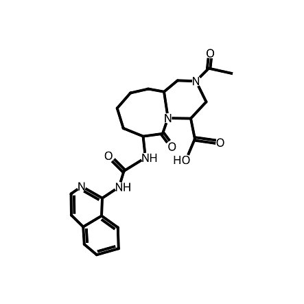 CC(=O)N1CC2CCCCC(NC(=O)Nc3nccc4ccccc34)C(=O)N2C(C(=O)O)C1